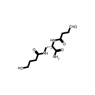 NC(=O)[C@H](CNC(=O)CCCO)NC(=O)CCC=O